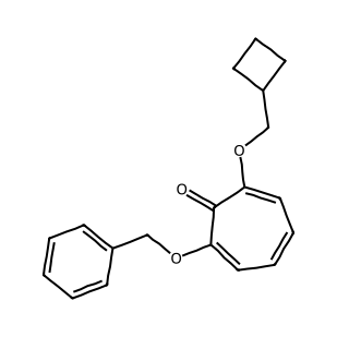 O=c1c(OCc2ccccc2)ccccc1OCC1CCC1